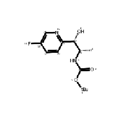 C[C@H](NC(=O)OC(C)(C)C)[C@@H](O)c1ccc(F)cn1